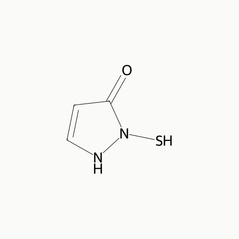 O=c1cc[nH]n1S